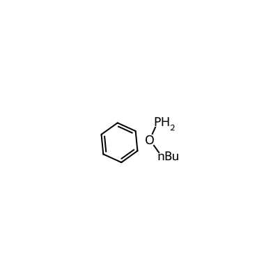 CCCCOP.c1ccccc1